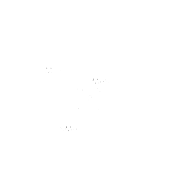 CSc1ccccc1OP(=O)(Oc1ccccc1SC)Oc1ccccc1SC